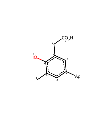 CC(=O)c1cc(C)c(O)c(CC(=O)O)c1